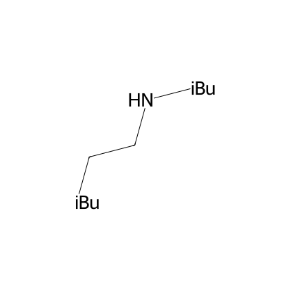 CCC(C)CCNC(C)CC